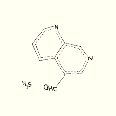 O=Cc1cncc2ncccc12.S